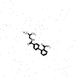 CC(C)CNC(=O)c1ccc(-c2cc[c]cc2C(N)=O)cc1